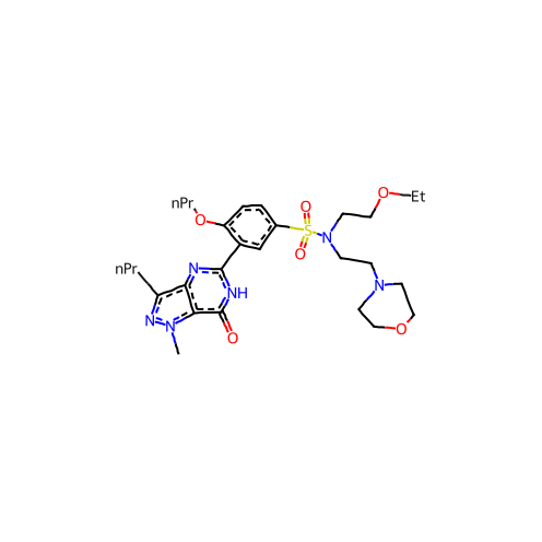 CCCOc1ccc(S(=O)(=O)N(CCOCC)CCN2CCOCC2)cc1-c1nc2c(CCC)nn(C)c2c(=O)[nH]1